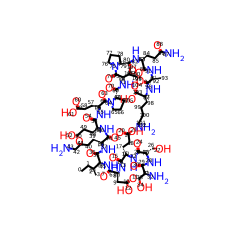 CC[C@H](C)[C@H](NC(=O)[C@H](CC(=O)O)NC(=O)[C@H](CCC(=O)O)NC(=O)[C@H](CO)NC(=O)[C@@H](N)CO)C(=O)N[C@@H](CCCCN)C(=O)N[C@@H](CCC(=O)O)C(=O)N[C@@H](CCC(=O)O)C(=O)N1CCC[C@H]1C(=O)N[C@H](C(=O)N1CCC[C@H]1C(=O)N[C@@H](CCC(N)=O)C(=O)N[C@@H](C)C(=O)N[C@@H](CCCCN)C(=O)O)C(C)C